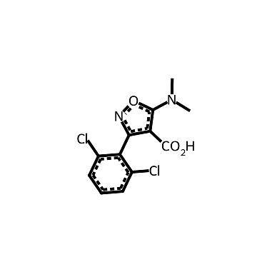 CN(C)c1onc(-c2c(Cl)cccc2Cl)c1C(=O)O